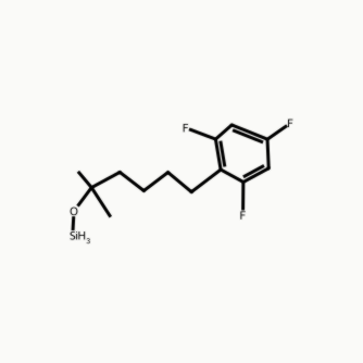 CC(C)(CCCCc1c(F)cc(F)cc1F)O[SiH3]